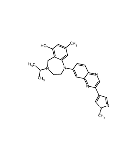 Cc1cc(O)c2c(c1)N(c1ccc3ncc(-c4cnn(C)c4)nc3c1)CCN(C(C)C)C2